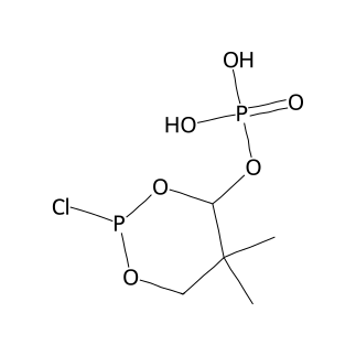 CC1(C)COP(Cl)OC1OP(=O)(O)O